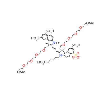 CC[N+]1=C(/C=C/C=C2/N(CCCCCC(=O)O)c3ccc4c(S(=O)(=O)[O-])cc(S(=O)(=O)O)cc4c3C2(C)CCOCCOCCOCCOCCOC)C(C)(CCOCCOCCOCCOCCOC)c2c1ccc1c(S(=O)(=O)O)cc(S(=O)(=O)O)cc21